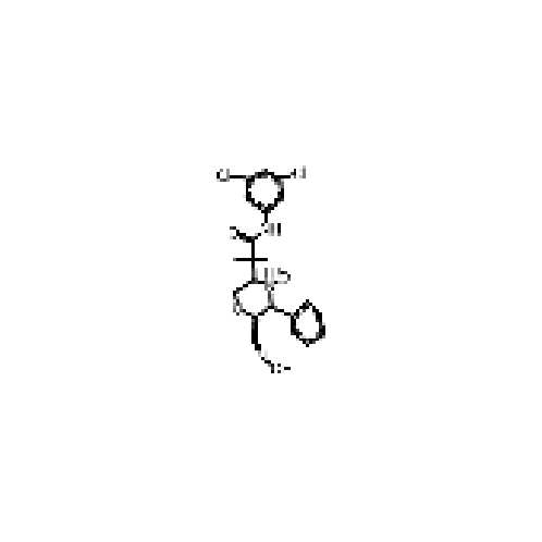 CC(C)(C(=O)Nc1cc(Cl)cc(Cl)c1)C1COC(=C=NO)C(c2ccccc2)[NH+]1[O-]